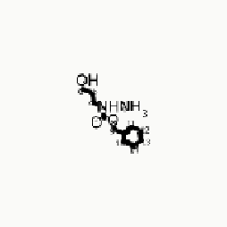 N.O=C(NCCCO)OCc1ccccc1